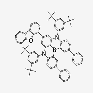 CC(C)(C)c1cc(N2c3ccc(-c4ccccc4)cc3B3c4cc(-c5ccccc5)ccc4N(c4cc(C(C)(C)C)cc(C(C)(C)C)c4)c4cc(-c5cccc6c5oc5ccccc56)cc2c43)cc(C(C)(C)C)c1